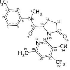 Cc1cccc(N(C)C(=O)[C@@H]2CCC(=O)N2c2nc(C)cc(C(F)(F)F)c2C#N)c1